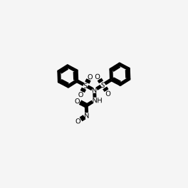 O=NC(=O)NN(S(=O)(=O)c1ccccc1)S(=O)(=O)c1ccccc1